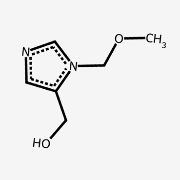 COCn1cncc1CO